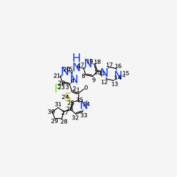 Cc1c(-c2nc(Nc3ccc(N4CCN(C)CC4)cn3)ncc2F)sc2c(C3CCCC3)ccnc12